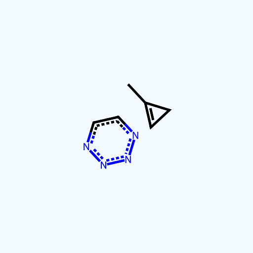 CC1=CC1.c1cnnnn1